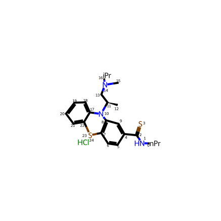 CCCNC(=S)c1ccc2c(c1)N([C@H](C)CN(C)C(C)C)c1ccccc1S2.Cl